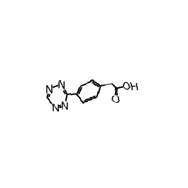 O=C(O)Cc1ccc(-c2nncnn2)cc1